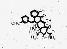 CN(C)[C@@H]1C(O)C(C(N)=O)C(=O)[C@@]2(O)C(O)=C3C(=O)c4c(O)cccc4/C(=C\c4cccc(C=O)c4)[C@H]3[C@H](O)[C@@H]12